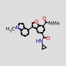 CNC(=O)c1cc(C(=O)NC2CC2)cc2c(-c3cccc4c3ccn4C)coc12